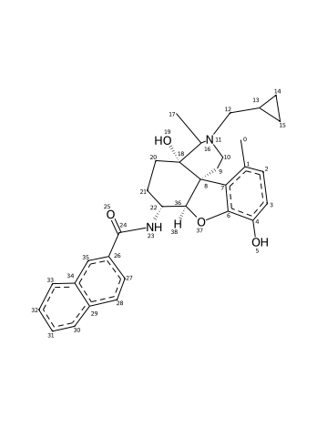 Cc1ccc(O)c2c1[C@]13CCN(CC4CC4)C(C)[C@]1(O)CC[C@@H](NC(=O)c1ccc4ccccc4c1)[C@@H]3O2